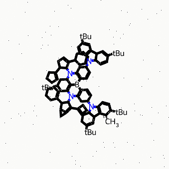 C[C@@H]1C2=C(C=CC1C(C)(C)C)N(C1C=CC3=C(C1)N(C1C(C4=CCC4)=C4CC4C1C1=CCCCC1)C1=C4B3C3=C(CC(N5c6ccc(C(C)(C)C)cc6C6C=C(C(C)(C)C)C=CC65)C=C3)N(C3C(C5CC=CCC5)=CCC3C3=CCCC3)C4CC(C(C)(C)C)C1)C1CCC(C(C)(C)C)=CC21